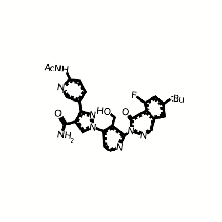 CC(=O)Nc1ccc(-c2nn(-c3ccnc(-n4ncc5cc(C(C)(C)C)cc(F)c5c4=O)c3CO)cc2C(N)=O)cn1